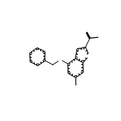 CC(=O)c1cc2c(OCc3ccccc3)cc(P)cc2o1